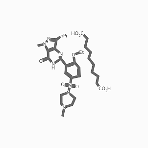 CCCc1nn(C)c2c(=O)[nH]c(-c3cc(S(=O)(=O)N4CCN(C)CC4)ccc3OCC)nc12.O=C(O)CCCCCCCCC(=O)O